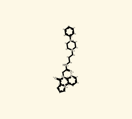 O=C(Cn1c(=O)c2cccn2c2cccnc21)NCCCN1CCN(c2ccccc2)CC1